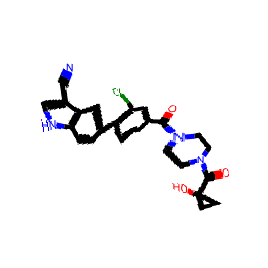 N#Cc1c[nH]c2ccc(-c3ccc(C(=O)N4CCN(C(=O)C5(O)CC5)CC4)cc3Cl)cc12